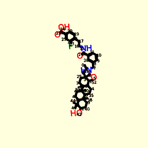 CCCC1(C(=O)NCc2cccc(C(=O)NCCc3ccc(C(=O)O)cc3F)c2)CC[C@]2(C)C(CCC3C4(C)CCC(O)C(C)(C)C4CCC32C)C1C